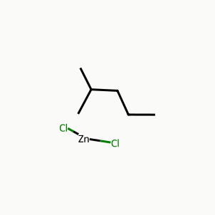 CCCC(C)C.[Cl][Zn][Cl]